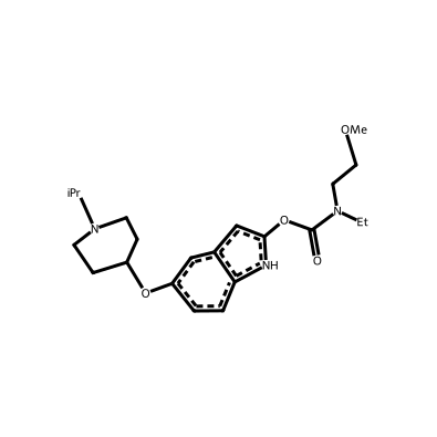 CCN(CCOC)C(=O)Oc1cc2cc(OC3CCN(C(C)C)CC3)ccc2[nH]1